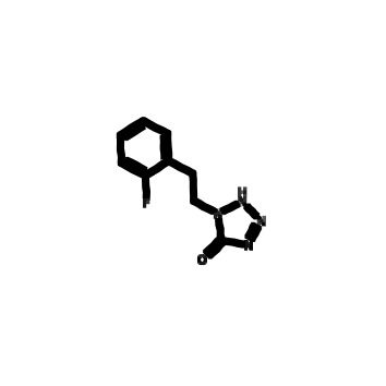 O=c1nn[nH]n1CCc1ccccc1F